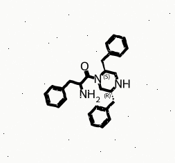 NC(Cc1ccccc1)C(=O)N1C[C@@H](Cc2ccccc2)NC[C@@H]1Cc1ccccc1